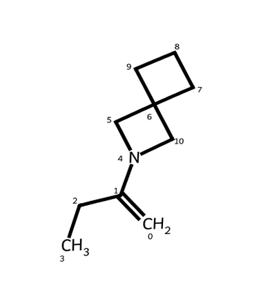 C=C(CC)N1CC2(CCC2)C1